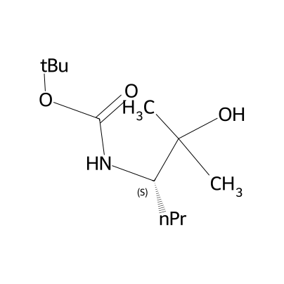 CCC[C@H](NC(=O)OC(C)(C)C)C(C)(C)O